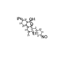 CCC1C(CC2CCC(N=O)CC2)C2OC(O)C3CC(C(C)C)CCC3C2C[C@@H]1C